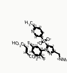 CNCc1cc(S(=O)(=O)c2ccc(C)nc2)n(-c2cc(F)ccc2F)n1.O=C(O)/C=C/C(=O)O